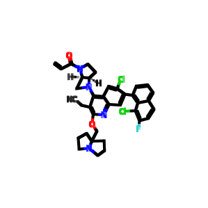 C=CC(=O)N1CC[C@@H]2[C@H]1CN2c1c(CC#N)c(OCC23CCCN2CCC3)nc2cc(-c3cccc4ccc(F)c(Cl)c34)c(Cl)cc12